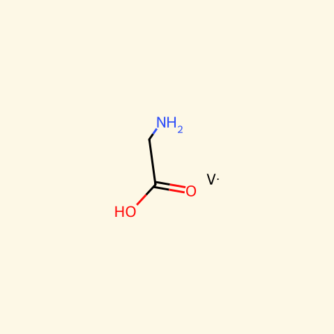 NCC(=O)O.[V]